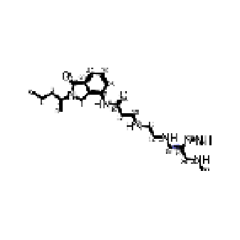 CCCC(C)N1Cc2c(NC(=O)CCNCCN/C=C(/CNC)N=N)cccc2C1=O